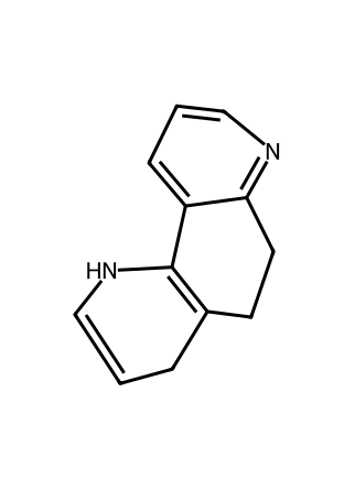 C1=CNC2=C(C1)CCc1ncccc12